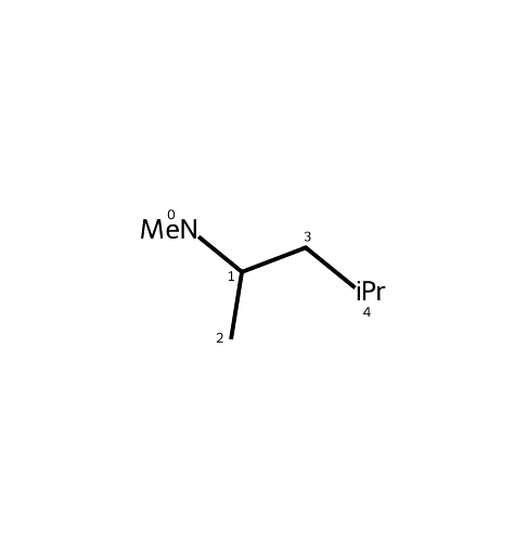 CNC(C)CC(C)C